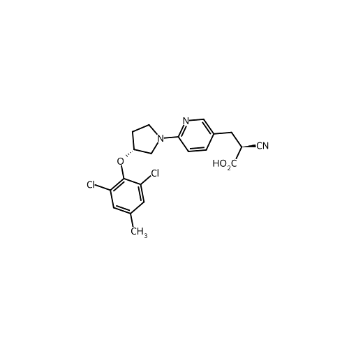 Cc1cc(Cl)c(O[C@@H]2CCN(c3ccc(C[C@@H](C#N)C(=O)O)cn3)C2)c(Cl)c1